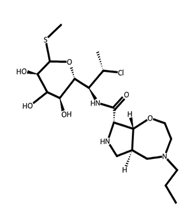 CCCN1CCO[C@@H]2[C@H](CN[C@@H]2C(=O)N[C@@H]([C@H]2OC(SC)[C@H](O)C(O)[C@@H]2O)[C@H](C)Cl)C1